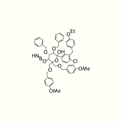 CCOc1ccc(Cc2cc(C3(O)OC(COCc4ccc(OC)cc4)(COCc4ccc(OC)cc4)[C@@H](OB=N)[C@H](OCc4ccccc4)C3OCc3ccccc3)ccc2Cl)cc1